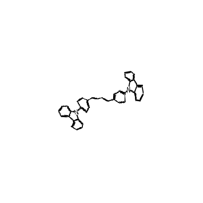 C(=Cc1ccc(-n2c3ccccc3c3ccccc32)cc1)/C=C/c1ccc(-n2c3ccccc3c3ccccc32)cc1